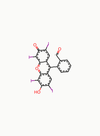 O=[C]c1ccccc1-c1c2cc(I)c(=O)c(I)c-2oc2c(I)c(O)c(I)cc12